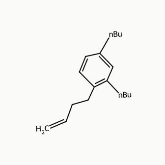 C=CCCc1ccc(CCCC)cc1CCCC